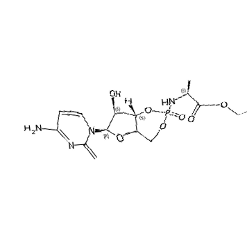 C=C1N=C(N)C=CN1[C@@H]1OC2COP(=O)(N[C@@H](C)C(=O)OCC)O[C@H]2[C@@H]1O